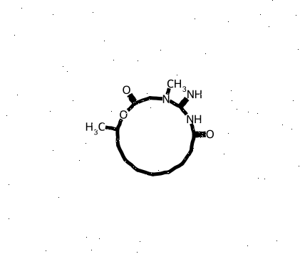 CC1CCCCCCCC(=O)NC(=N)N(C)CC(=O)O1